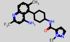 CCn1nccc1C(=O)NC1CCC(c2c(C)ccc3nc(C(F)(F)F)cc(N)c23)CC1